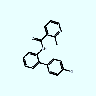 Cc1ncccc1C(=O)Nc1ccccc1-c1ccc(Cl)cc1